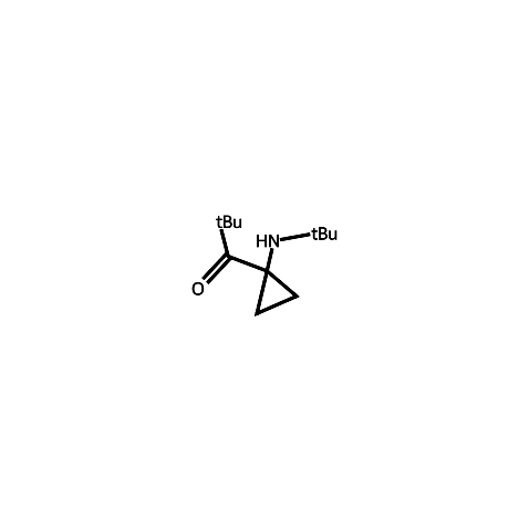 CC(C)(C)NC1(C(=O)C(C)(C)C)CC1